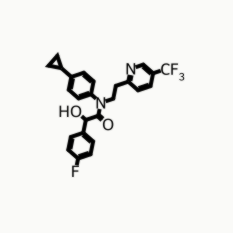 O=C(C(O)c1ccc(F)cc1)N(CCc1ccc(C(F)(F)F)cn1)c1ccc(C2CC2)cc1